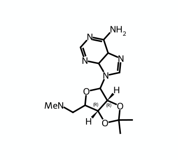 CNCC1OC(N2C=NC3C(N)=NC=NC32)[C@@H]2OC(C)(C)O[C@H]12